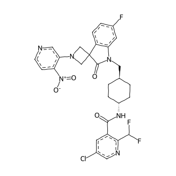 O=C(N[C@H]1CC[C@H](CN2C(=O)C3(CN(c4cnccc4[N+](=O)[O-])C3)c3ccc(F)cc32)CC1)c1cc(Cl)cnc1C(F)F